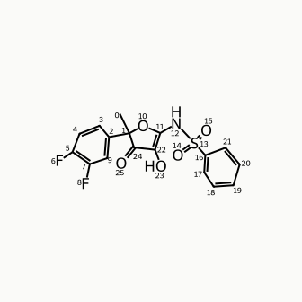 CC1(c2ccc(F)c(F)c2)OC(NS(=O)(=O)c2ccccc2)=C(O)C1=O